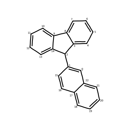 [c]1c(C2c3ccccc3-c3ccccc32)ccc2ccccc12